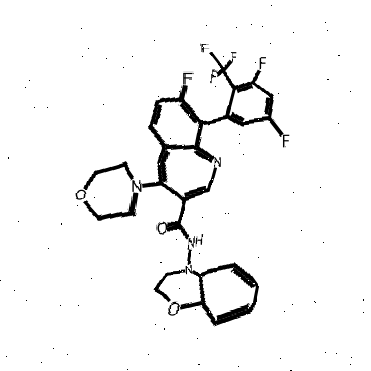 O=C(NN1CCOC2C=CC=CC21)c1cnc2c(-c3cc(F)cc(F)c3C(F)(F)F)c(F)ccc2c1N1CCOCC1